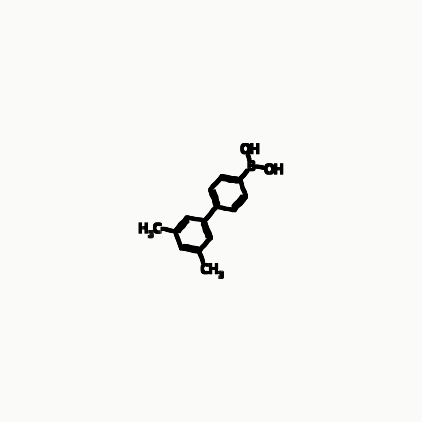 Cc1cc(C)cc(-c2ccc(B(O)O)cc2)c1